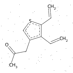 C=Cc1scc(CC(C)=O)c1C=C